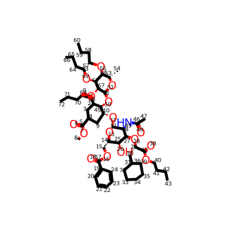 C=CC1CC(C(=O)OC)C[C@@H](O[C@@H]2O[C@@H](COC(=O)c3ccccc3)[C@H](O)C(O[C@@H](CC3CCCCC3)C(=O)OCCCC)C2NC(C)=O)[C@@H]1OC1O[C@@H](C)C(OCCCC)[C@H](OCCCC)[C@@H]1OCCCC